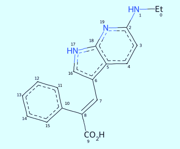 CCNc1ccc2c(C=C(C(=O)O)c3ccccc3)c[nH]c2n1